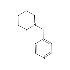 [CH]1CCCCN1Cc1ccncc1